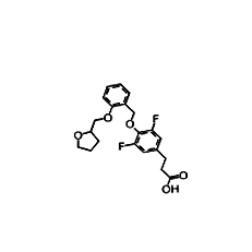 O=C(O)CCc1cc(F)c(OCc2ccccc2OCC2CCCO2)c(F)c1